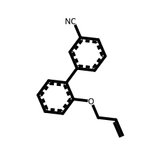 C=CCOc1ccccc1-c1cccc(C#N)c1